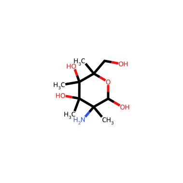 CC1(CO)OC(O)C(C)(N)C(C)(O)C1(C)O